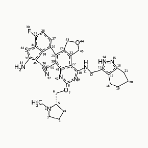 CN1CCC[C@H]1COc1nc(NCc2[nH]nc3c2CCCC3)c2c3c(c(-c4ccc(F)c5sc(N)c(C#N)c45)c(F)c2n1)COC3